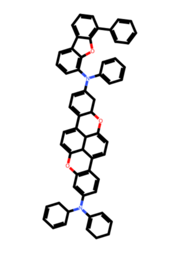 C1=CCC(N(C2=CCCC=C2)c2ccc3c(c2)OC2=CC=C4C5=CC=C(N(c6ccccc6)c6cccc7c6oc6c(-c8ccccc8)cccc67)CC5OC5=CC=C3C2C54)C=C1